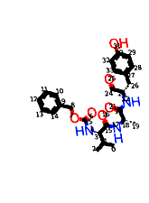 CC(C)[C@H](NC(=O)OCc1ccccc1)C(=O)N[C@@H](C)C(=O)N[C@H](C=O)Cc1ccc(O)cc1